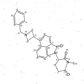 O=C1CCC(N2C(=O)c3ccc(C4CN(Cc5ccccc5)C4)c4cccc2c34)C(=O)N1I